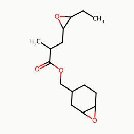 CCC1OC1CC(C)C(=O)OCC1CCC2OC2C1